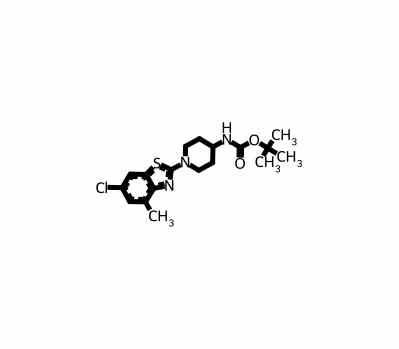 Cc1cc(Cl)cc2sc(N3CCC(NC(=O)OC(C)(C)C)CC3)nc12